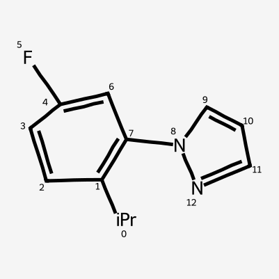 CC(C)c1ccc(F)cc1-n1cccn1